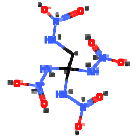 O=[N+]([O-])NCC(N[N+](=O)[O-])(N[N+](=O)[O-])N[N+](=O)[O-]